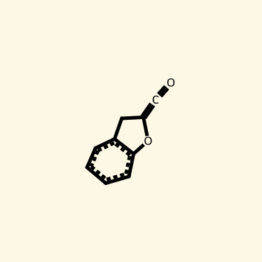 O=C=C1Cc2ccccc2O1